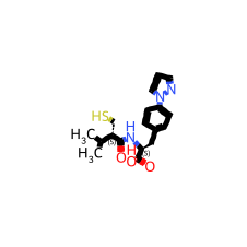 CC(C)[C@H](CS)C(=O)N[C@@H](Cc1ccc(-n2cccn2)cc1)C(=O)O